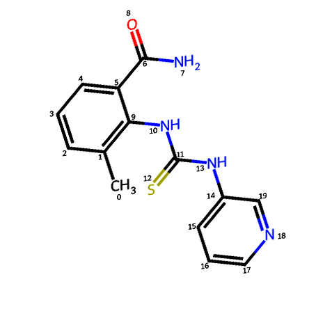 Cc1cccc(C(N)=O)c1NC(=S)Nc1cccnc1